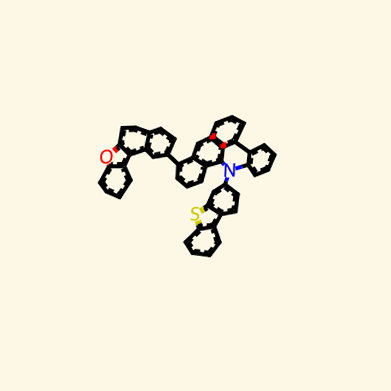 c1ccc(-c2ccccc2N(c2ccc3c(c2)sc2ccccc23)c2cccc3c(-c4ccc5ccc6oc7ccccc7c6c5c4)cccc23)cc1